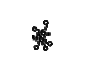 CC(=O)N[C@H]1[C@H](OCc2ccccc2)O[C@H](COCc2ccccc2)[C@@H](O)[C@@H]1O[C@@H]1O[C@@H](C)[C@@H](OCc2ccccc2)[C@@H](OCc2ccccc2)[C@@H]1OCc1ccccc1